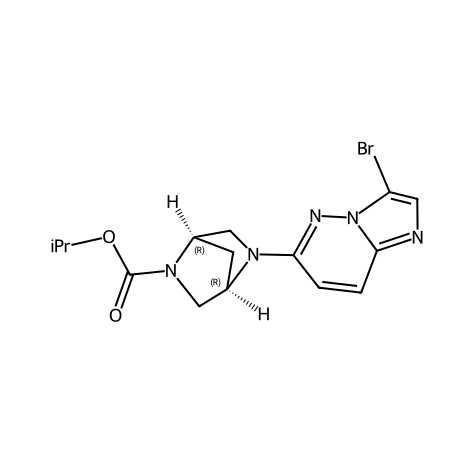 CC(C)OC(=O)N1C[C@H]2C[C@@H]1CN2c1ccc2ncc(Br)n2n1